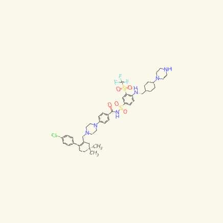 CC1(C)CCC(c2ccc(Cl)cc2)=C(CN2CCN(c3ccc(C(=O)NS(=O)(=O)c4ccc(NCC5CCC(N6CCNCC6)CC5)c(S(=O)(=O)C(F)(F)F)c4)cc3)CC2)C1